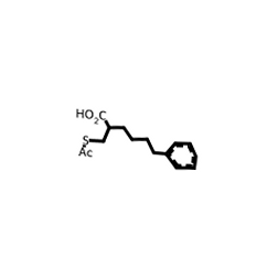 CC(=O)SCC(CCCCc1ccccc1)C(=O)O